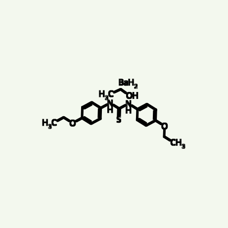 CCO.CCOc1ccc(NC(=S)Nc2ccc(OCC)cc2)cc1.[BaH2]